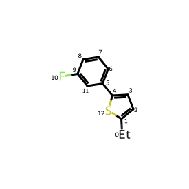 CCc1ccc(-c2cccc(F)c2)s1